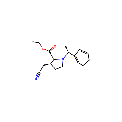 CCOC(=O)[C@@H]1[C@H](CC#N)CCN1[C@@H](C)C1=CCCC=C1